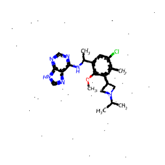 COc1c(C(C)Nc2ncnc3[nH]cnc23)cc(Cl)c(C)c1C1CN(C(C)C)C1